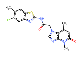 Cc1cc2sc(NC(=O)Cn3cnc4c3c(C)cc(=O)n4C)nc2cc1F